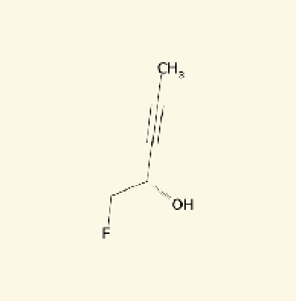 CC#C[C@H](O)CF